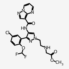 COC(=O)CNCCn1cc(NC(=O)c2cnn3cccnc23)c(-c2cc(Cl)ccc2OC(F)F)n1